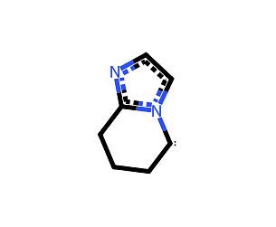 [C]1CCCc2nccn21